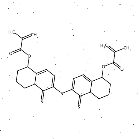 C=C(C)C(=O)OC1CCCC2C(=S)C(SC3=CC=C4C(OC(=O)C(=C)C)CCCC4C3=S)=CC=C12